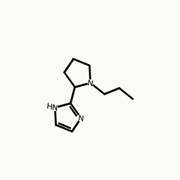 CCCN1CCCC1c1ncc[nH]1